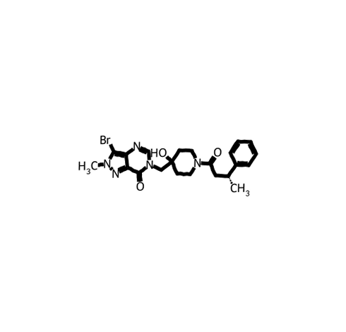 C[C@H](CC(=O)N1CCC(O)(Cn2cnc3c(Br)n(C)nc3c2=O)CC1)c1ccccc1